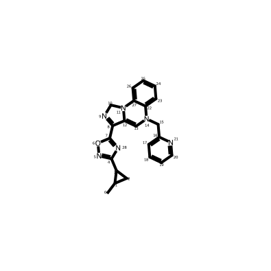 CC1CC1c1noc(C2=NCN3C2=CN(Cc2ccccn2)c2ccccc23)n1